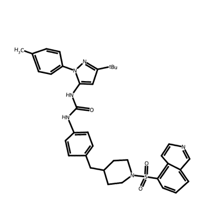 Cc1ccc(-n2nc(C(C)(C)C)cc2NC(=O)Nc2ccc(CC3CCN(S(=O)(=O)c4cccc5cnccc45)CC3)cc2)cc1